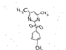 Cc1ccc(S(=O)(=O)c2nc(C)cc(C)n2)cc1